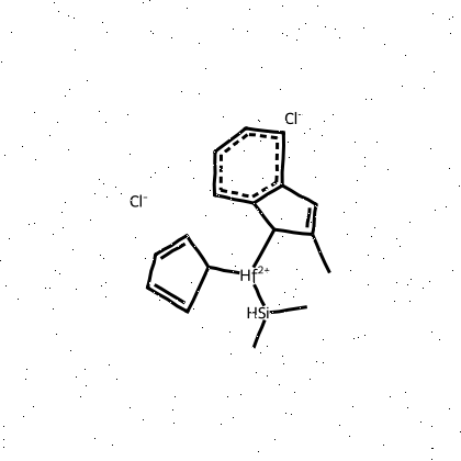 CC1=Cc2ccccc2[CH]1[Hf+2]([CH]1C=CC=C1)[SiH](C)C.[Cl-].[Cl-]